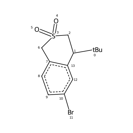 CC(C)(C)C1CS(=O)(=O)Cc2ccc(Br)cc21